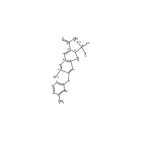 Cc1cccc(Cc2cc3c(cc2Cl)C=C(C(=O)O)C(C(F)(F)F)O3)n1